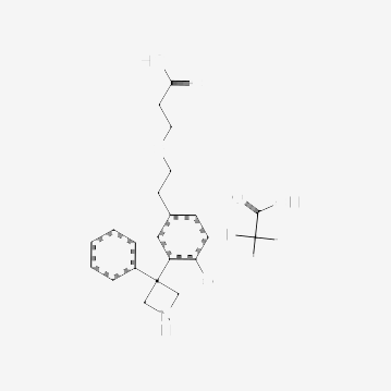 O=C(O)C(F)(F)F.O=C(O)CCOCCc1ccc(O)c(C2(c3ccccc3)CNC2)c1